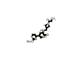 C=CC(=O)N1CC(CNc2cc(-c3ccnc(OC)n3)c[nH]c2=O)C1